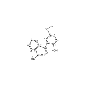 COc1ccc(O)c(C(=O)c2ccccc2C(=O)O)c1